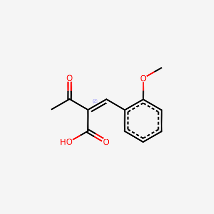 COc1ccccc1/C=C(/C(C)=O)C(=O)O